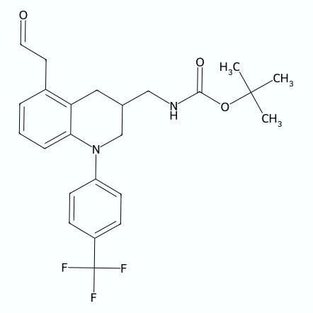 CC(C)(C)OC(=O)NCC1Cc2c(CC=O)cccc2N(c2ccc(C(F)(F)F)cc2)C1